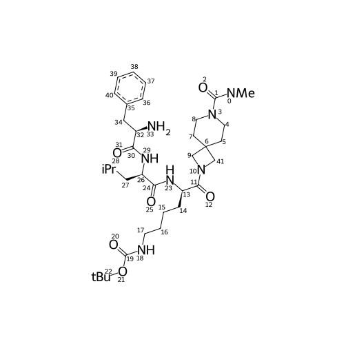 CNC(=O)N1CCC2(CC1)CN(C(=O)[C@@H](CCCCNC(=O)OC(C)(C)C)NC(=O)[C@@H](CC(C)C)NC(=O)[C@H](N)Cc1ccccc1)C2